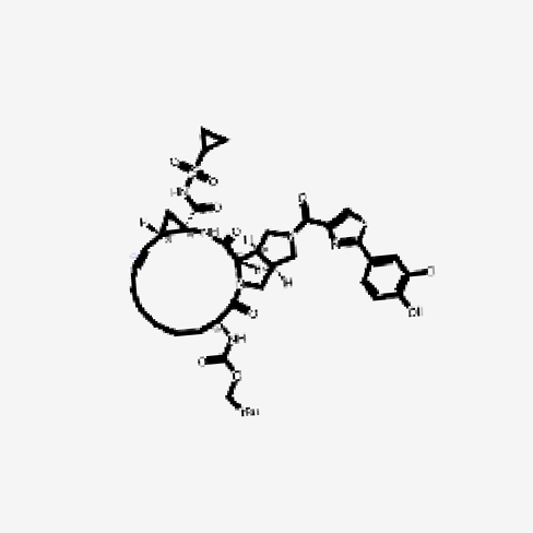 CC(C)(C)COC(=O)N[C@H]1CCCCC/C=C\[C@@H]2C[C@@]2(C(=O)NS(=O)(=O)C2CC2)NC(=O)[C@@H]2[C@H]3CN(C(=O)c4csc(-c5ccc(O)c(Cl)c5)n4)C[C@H]3CN2C1=O